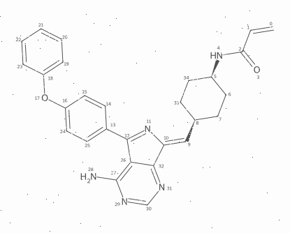 C=CC(=O)N[C@H]1CC[C@@H](/C=C2\N=C(c3ccc(Oc4ccccc4)cc3)c3c(N)ncnc32)CC1